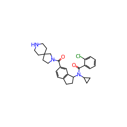 O=C(c1ccc2c(c1)C(N(C(=O)c1ccccc1Cl)C1CC1)CC2)N1CCC2(CCNCC2)C1